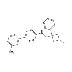 Nc1nccc(-c2ccc(NCC3(c4ccccn4)CC(F)C3)nn2)n1